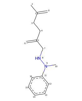 C=C(C)CCC(=C)CNN(C)c1ccccc1